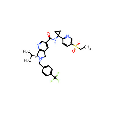 CCS(=O)(=O)c1ccc(C2(NC(=O)c3cnc4c(c3)CN(Cc3ccc(C(F)(F)F)cc3)[C@H]4C(C)C)CC2)nc1